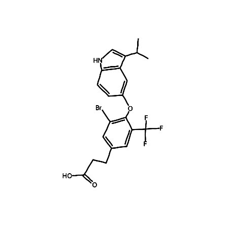 CC(C)c1c[nH]c2ccc(Oc3c(Br)cc(CCC(=O)O)cc3C(F)(F)F)cc12